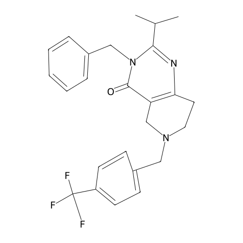 CC(C)c1nc2c(c(=O)n1Cc1ccccc1)CN(Cc1ccc(C(F)(F)F)cc1)CC2